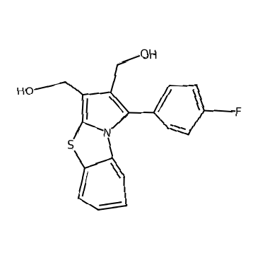 OCc1c(CO)c2sc3ccccc3n2c1-c1ccc(F)cc1